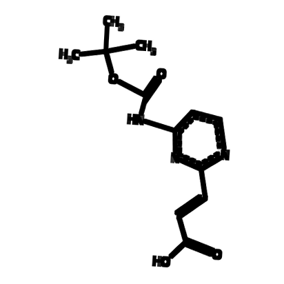 CC(C)(C)OC(=O)Nc1ccnc(C=CC(=O)O)n1